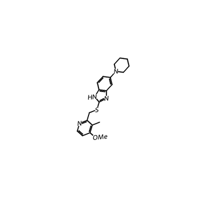 COc1ccnc(CSc2nc3cc(N4CCCCC4)ccc3[nH]2)c1C